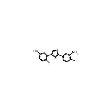 Cc1ccc(O)[c]c1-c1csc(-c2ccc(C)c(N)c2)n1